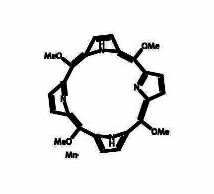 COc1c2nc(c(OC)c3ccc([nH]3)c(OC)c3nc(c(OC)c4ccc1[nH]4)C=C3)C=C2.[Mn]